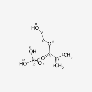 C=C(C)C(=O)OCCO.O=[PH](O)O